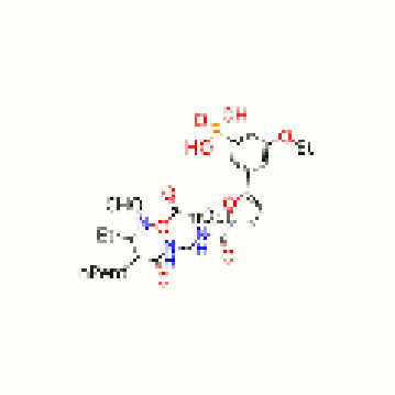 CCCCCCCCC(=O)ON(C=O)[C@H](CC)C(CCCCC)C(=O)NCNC(=O)c1ccc(-c2cc(OCC)cc(P(=O)(O)O)c2)o1